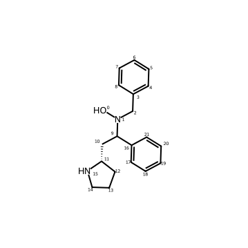 ON(Cc1ccccc1)C(C[C@@H]1CCCN1)c1ccccc1